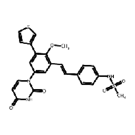 COc1c(C=Cc2ccc(NS(C)(=O)=O)cc2)cc(-n2ccc(=O)[nH]c2=O)cc1-c1ccsc1